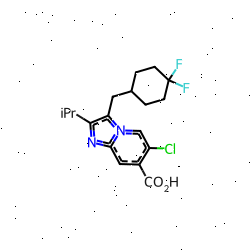 CC(C)c1nc2cc(C(=O)O)c(Cl)cn2c1CC1CCC(F)(F)CC1